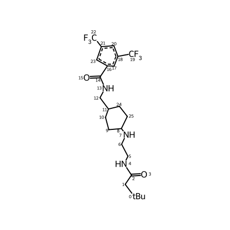 CC(C)(C)CC(=O)NCCNC1CCC(CNC(=O)c2cc(C(F)(F)F)cc(C(F)(F)F)c2)CC1